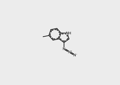 Cc1ccc2[nH]cc(N=[N+]=[N-])c2c1